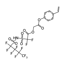 C=Cc1ccc(OC(=O)COC(=O)C(F)(F)S(=O)(=O)NS(=O)(=O)C(F)(F)C(F)(F)C(F)(F)C(F)(F)F)cc1